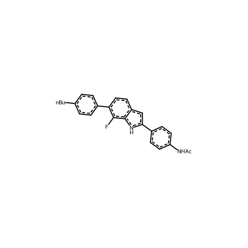 CCCCc1ccc(-c2ccc3cc(-c4ccc(NC(C)=O)cc4)[nH]c3c2F)cc1